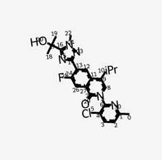 Cc1ccc(Cl)c(-n2cc(C(C)C)c3cc(-c4nc(C(C)(C)O)n(C)n4)c(F)cc3c2=O)n1